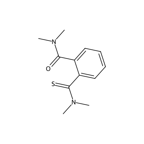 CN(C)C(=O)c1ccccc1C(=S)N(C)C